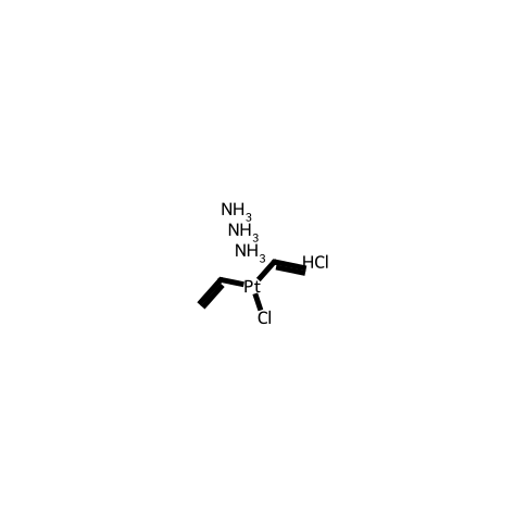 C=[CH][Pt]([Cl])[CH]=C.Cl.N.N.N